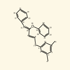 Cc1cc(C)cc(SC=CC(=Nc2ccccc2)Oc2ccccc2)c1